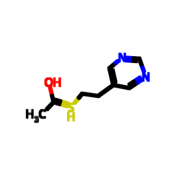 CC(O)=[SH]CCc1cncnc1